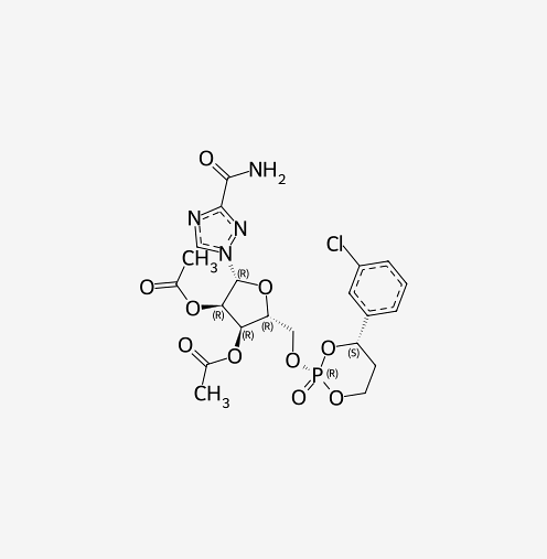 CC(=O)O[C@@H]1[C@H](OC(C)=O)[C@@H](CO[P@@]2(=O)OCC[C@@H](c3cccc(Cl)c3)O2)O[C@H]1n1cnc(C(N)=O)n1